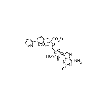 CCOC(=O)C(Cc1ccc(-c2ccccn2)cc1)(OC[C@H]1O[C@@H](n2cnc3c(N)nc(Cl)nc32)[C@@H](F)[C@@H]1O)C(=O)OCC